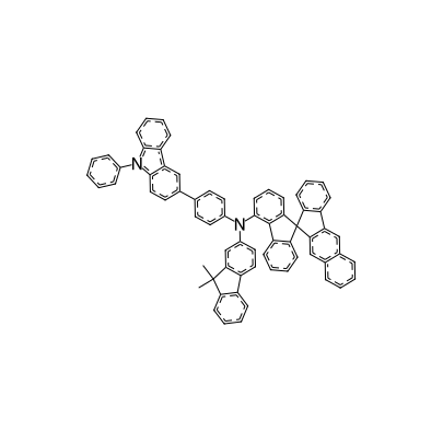 CC1(C)c2ccccc2-c2ccc(N(c3ccc(-c4ccc5c(c4)c4ccccc4n5-c4ccccc4)cc3)c3cccc4c3-c3ccccc3C43c4ccccc4-c4cc5ccccc5cc43)cc21